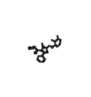 CNC(=O)c1c(-c2ccccc2)nc(COc2cccc(C)c2C)n1C